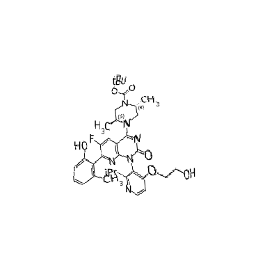 Cc1cccc(O)c1-c1nc2c(cc1F)c(N1C[C@@H](C)N(C(=O)OC(C)(C)C)C[C@@H]1C)nc(=O)n2-c1c(OCCO)ccnc1C(C)C